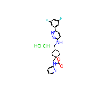 Cl.Cl.O=C1O[C@]2(CC[C@H](CNc3ccc(-c4cc(F)cc(F)c4)nn3)CC2)CN1c1ccccn1